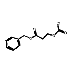 O=C(Cl)OCCC(=O)OCc1ccccc1